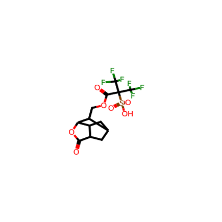 O=C1OC2C(COC(=O)C(C(F)(F)F)(C(F)(F)F)S(=O)(=O)O)C3CC1C2C3